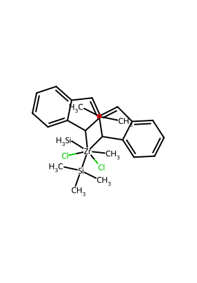 CC1=Cc2ccccc2[CH]1[Zr]([CH3])([SiH3])([Cl])([Cl])([CH]1C(C)=Cc2ccccc21)[Si](C)(C)C